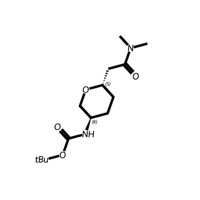 CN(C)C(=O)C[C@@H]1CC[C@@H](NC(=O)OC(C)(C)C)CO1